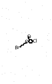 O=Cc1cc(Cl)ccc1OCCCCCBr